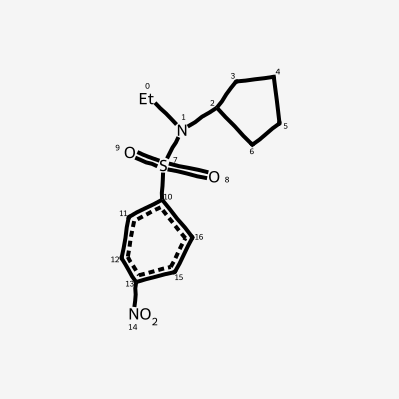 CCN(C1CCCC1)S(=O)(=O)c1ccc([N+](=O)[O-])cc1